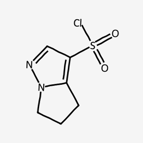 O=S(=O)(Cl)c1cnn2c1CCC2